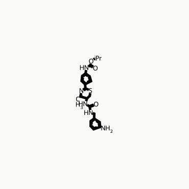 CC(C)OC(=O)Nc1ccc(C2=N[C@H](C)C(NC(=O)NCc3cccc(N)c3)CS2)cc1